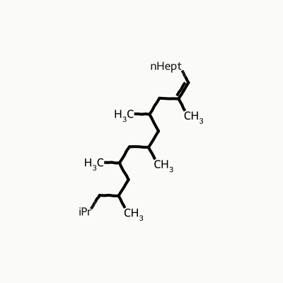 CCCCCCCC=C(C)CC(C)CC(C)CC(C)CC(C)CC(C)C